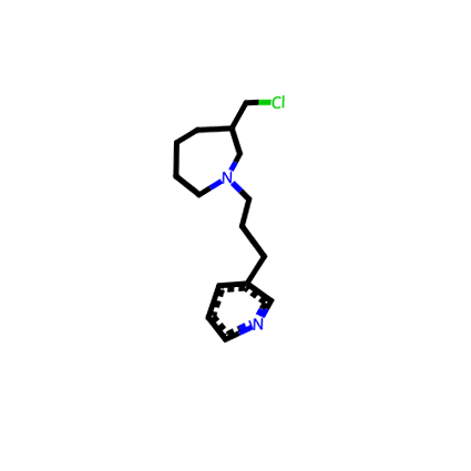 ClCC1CCCCN(CCCc2cccnc2)C1